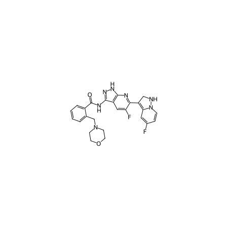 O=C(Nc1n[nH]c2nc(C3=C4C=C(F)C=CN4NC3)c(F)cc12)c1ccccc1CN1CCOCC1